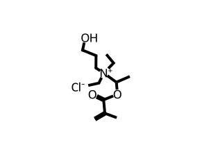 C=C(C)C(=O)OC(C)[N+](CC)(CC)CCCO.[Cl-]